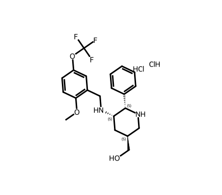 COc1ccc(OC(F)(F)F)cc1CN[C@H]1C[C@H](CO)CN[C@H]1c1ccccc1.Cl.Cl